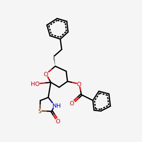 O=C1NC(C2(O)CC(OC(=O)c3ccccc3)C[C@@H](CCc3ccccc3)O2)CS1